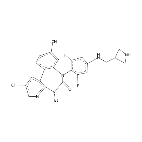 CCN1C(=O)N(c2c(F)cc(NCC3CNC3)cc2F)c2cc(C#N)ccc2-c2cc(Cl)cnc21